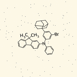 CC1(C)c2ccccc2-c2ccc(N(c3ccccc3)c3cc(Br)cc(C45CC6CC(CC(C6)C4)C5)c3)cc21